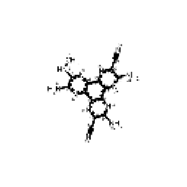 CNc1nc2c(nc1N)c1nc(C#N)c(N)nc1c1nc(N)c(C#N)nc12